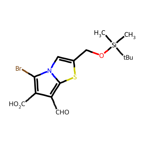 CC(C)(C)[Si](C)(C)OCc1cn2c(Br)c(C(=O)O)c(C=O)c2s1